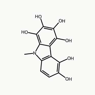 Cn1c2ccc(O)c(O)c2c2c(O)c(O)c(O)c(O)c21